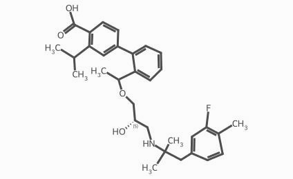 Cc1ccc(CC(C)(C)NC[C@H](O)COC(C)c2ccccc2-c2ccc(C(=O)O)c(C(C)C)c2)cc1F